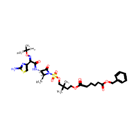 C[C@H]1[C@H](NC(=O)/C(=N/OC(C)(C)C(=O)O)c2csc(N)n2)C(=O)N1S(=O)(=O)OCC(C)(C)CCOC(=O)CCCCC(=O)OCc1ccccc1